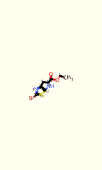 CCOC(=O)C1Cc2nc(Br)sc2N1